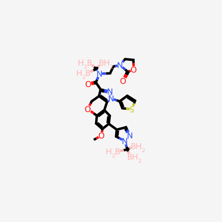 BC(B)(B)N(CCN1CCOC1=O)C(=O)c1nn(-c2ccsc2)c2c1COc1cc(OC)c(-c3cnn(C(B)(B)B)c3)cc1-2